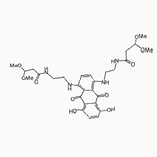 COC(CC(=O)NCCNc1ccc(NCCNC(=O)CC(OC)OC)c2c1C(=O)c1c(O)ccc(O)c1C2=O)OC